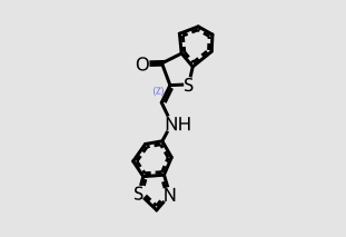 O=C1/C(=C/Nc2ccc3scnc3c2)Sc2ccccc21